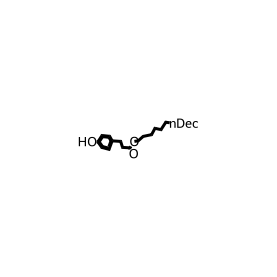 CCCCCCCCCCCCCCCCOC(=O)CCc1ccc(O)cc1